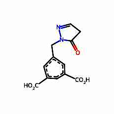 O=C(O)c1cc(CN2N=CCC2=O)cc(C(=O)O)c1